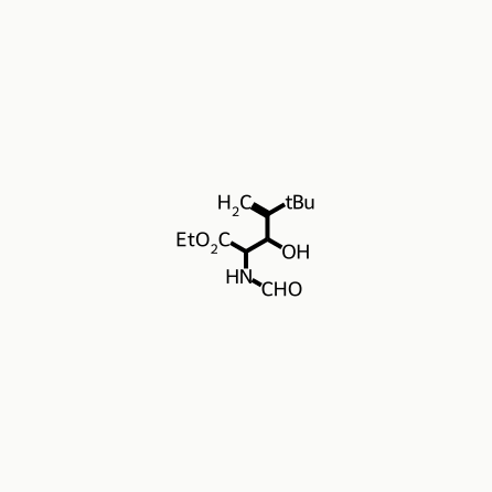 C=C(C(O)C(NC=O)C(=O)OCC)C(C)(C)C